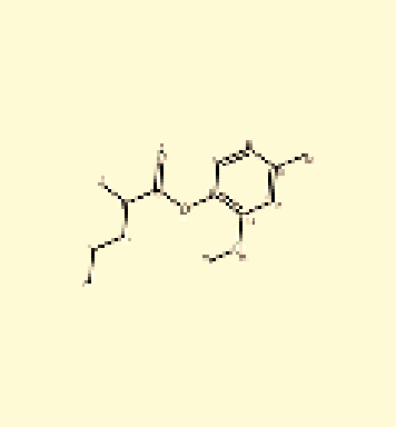 CCCC(C)C(=O)Oc1ccc(C)cc1OC